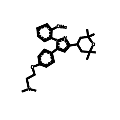 COc1ccccc1-n1nc(C2CC(C)(C)OC(C)(C)C2)cc1-c1ccc(OCCN(C)C)cc1